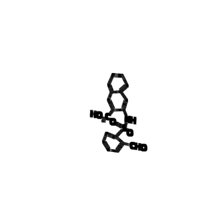 O=Cc1ccccc1S(=O)(=O)Nc1cc2ccccc2cc1C(=O)O